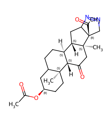 CC(=O)O[C@@H]1CC[C@@]2(C)C(CC[C@@H]3[C@@H]2C(=O)C[C@@]2(C)[C@H]3CC3N=NC[C@@]32C(C)=O)C1